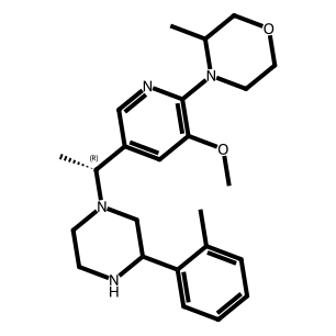 COc1cc([C@@H](C)N2CCNC(c3ccccc3C)C2)cnc1N1CCOCC1C